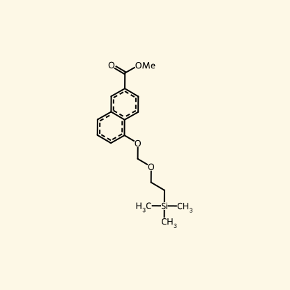 COC(=O)c1ccc2c(OCOCC[Si](C)(C)C)cccc2c1